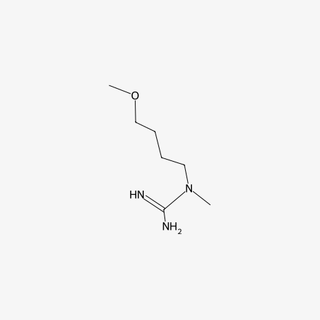 COCCCCN(C)C(=N)N